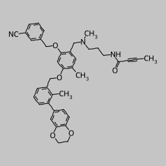 CC#CC(=O)NCCCN(C)Cc1cc(C)c(OCc2cccc(-c3ccc4c(c3)OCCO4)c2C)cc1OCc1cccc(C#N)c1